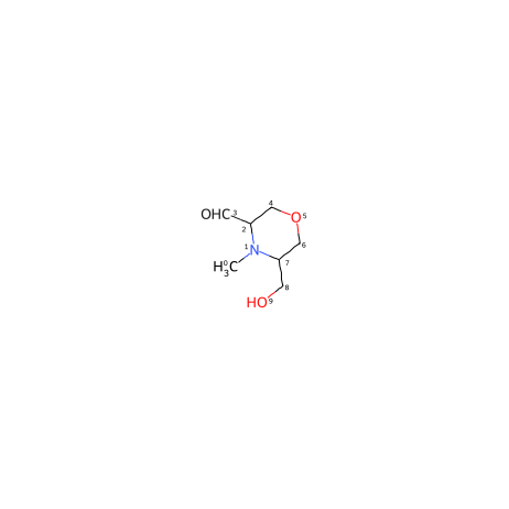 CN1C(C=O)COCC1CO